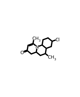 CC1=CC(=O)CC2CC(C)C3CC(Cl)CCC3N12